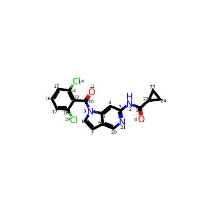 O=C(Nc1cc2c(ccn2C(=O)c2c(Cl)cccc2Cl)cn1)C1CC1